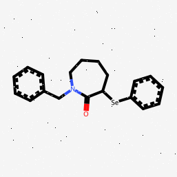 O=C1C([Se]c2ccccc2)CCCCN1Cc1ccccc1